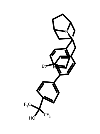 CCc1cc(CN2CC3CCC(C2)N3Cc2ccncc2)ccc1-c1ccc(C(O)(C(F)(F)F)C(F)(F)F)cc1